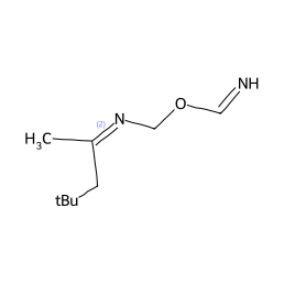 C/C(CC(C)(C)C)=N/COC=N